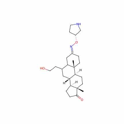 C[C@]12CC/C(=N\O[C@@H]3CCNC3)CC1C(CCO)C[C@@H]1[C@@H]2CC[C@]2(C)C(=O)CC[C@@H]12